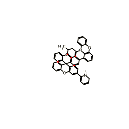 CC1C=CC=C(N2c3ccccc3Oc3cccc(-c4ccc5c(c4)Oc4ccccc4C54c5ccccc5Oc5cc(C6=CC=CCN6)ccc54)c32)C1